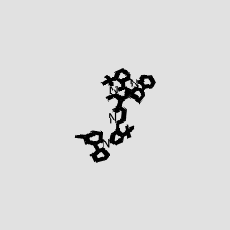 Cc1ccc2c(c1)c1ccccc1n2-c1ccc(C(C)(C)C)c(-c2ccc(-c3ccc(-c4c(-n5c6ccccc6c6ccccc65)cccc4C(C)(C)C)nc3C)cn2)c1